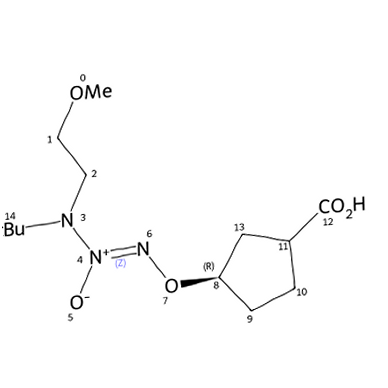 COCCN(/[N+]([O-])=N/O[C@@H]1CCC(C(=O)O)C1)C(C)(C)C